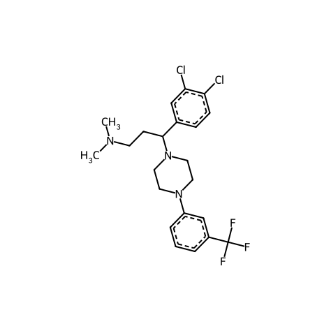 CN(C)CCC(c1ccc(Cl)c(Cl)c1)N1CCN(c2cccc(C(F)(F)F)c2)CC1